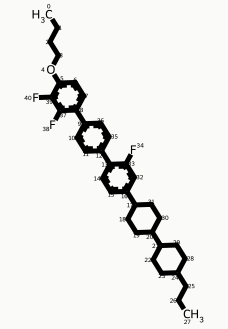 CCCCOc1ccc(-c2ccc(-c3ccc(C4CCC(C5CCC(CCC)CC5)CC4)cc3F)cc2)c(F)c1F